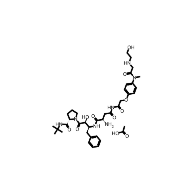 CC(=O)O.CN(C(=O)CNCCO)c1ccc(OCC(=O)NC(=O)C[C@H](N)C(=O)N[C@@H](Cc2ccccc2)[C@H](O)C(=O)N2CCC[C@H]2C(=O)NC(C)(C)C)cc1